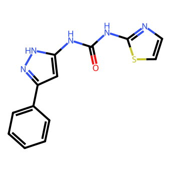 O=C(Nc1cc(-c2ccccc2)n[nH]1)Nc1nccs1